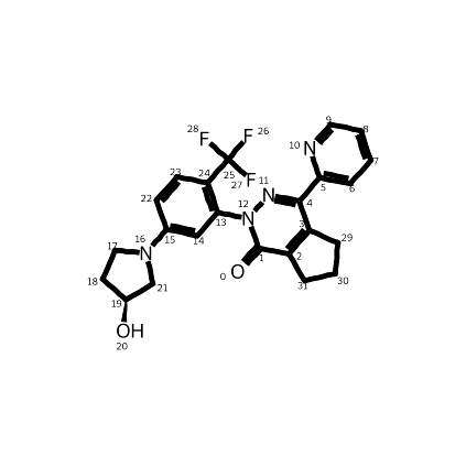 O=c1c2c(c(-c3ccccn3)nn1-c1cc(N3CC[C@H](O)C3)ccc1C(F)(F)F)CCC2